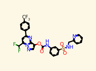 O=C(Nc1cccc(S(=O)(=O)NCc2ccccn2)c1)Oc1cnn2c(C(F)F)cc(-c3ccc(C(F)(F)F)cc3)nc12